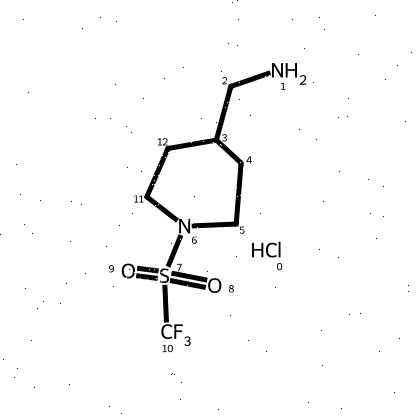 Cl.NCC1CCN(S(=O)(=O)C(F)(F)F)CC1